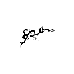 C[C@H]1C[C@@]2(CCN1Cc1cnn(CCO)c1)OCCc1cc(CC(F)F)sc12